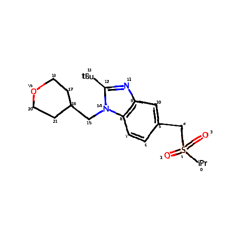 CC(C)S(=O)(=O)Cc1ccc2c(c1)nc(C(C)(C)C)n2CC1CCOCC1